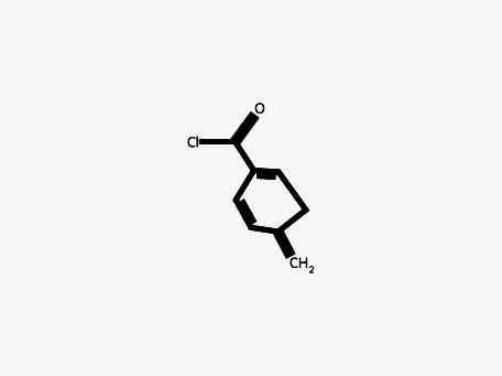 C=C1C=CC(C(=O)Cl)=CC1